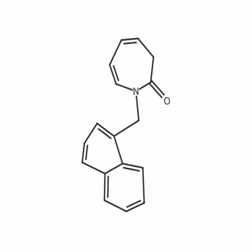 O=C1CC=CC=CN1Cc1cccc2ccccc12